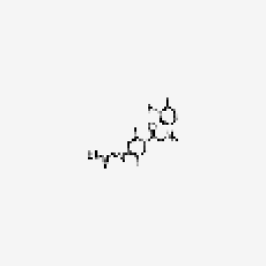 CCN(C)/C=N/c1cc(C)c(C(=O)CN(C)c2ccc(C)c(F)c2)cc1C